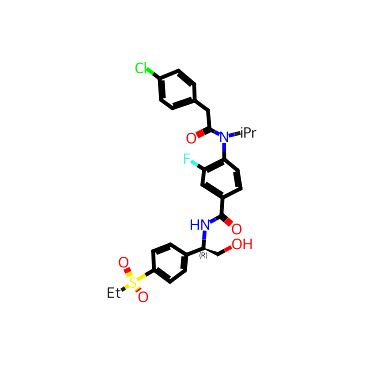 CCS(=O)(=O)c1ccc([C@H](CO)NC(=O)c2ccc(N(C(=O)Cc3ccc(Cl)cc3)C(C)C)c(F)c2)cc1